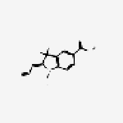 COC(=O)c1ccc2c(c1)C(C)(C)C(=CC=O)N2C